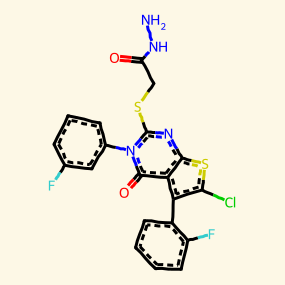 NNC(=O)CSc1nc2sc(Cl)c(-c3ccccc3F)c2c(=O)n1-c1cccc(F)c1